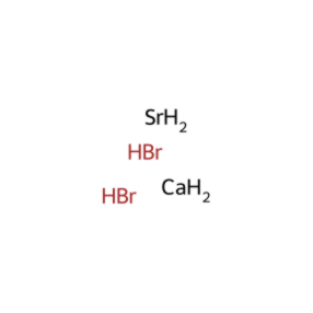 Br.Br.[CaH2].[SrH2]